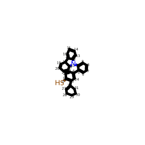 Sc1ccc(-c2ccccc2N2c3ccccc3C3C=CC=CC32)cc1C1=CCCCC1